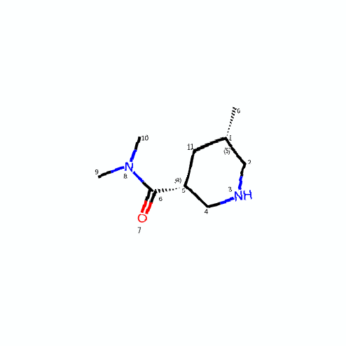 C[C@@H]1CNC[C@H](C(=O)N(C)C)C1